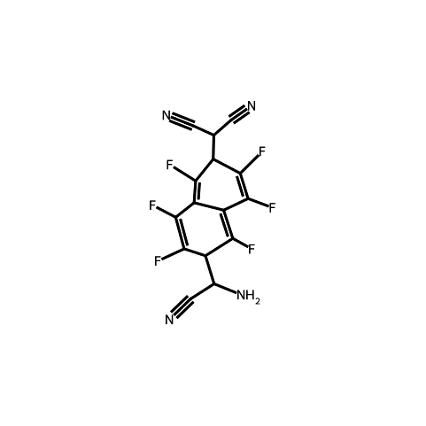 N#CC(N)C1C(F)=C(F)C2=C(F)C(C(C#N)C#N)C(F)=C(F)C2=C1F